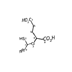 CCCC(S)OC(CCC(=O)O)C(=O)O